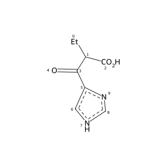 CCC(C(=O)O)C(=O)c1c[nH]cn1